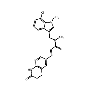 CN(Cc1cn(C)c2c(Cl)cccc12)C(=O)/C=C/c1cnc2c(c1)CCC(=O)N2